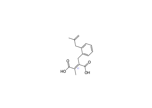 C=C(C)Cc1ccccc1C/C(C(=O)O)=C(/C)C(=O)O